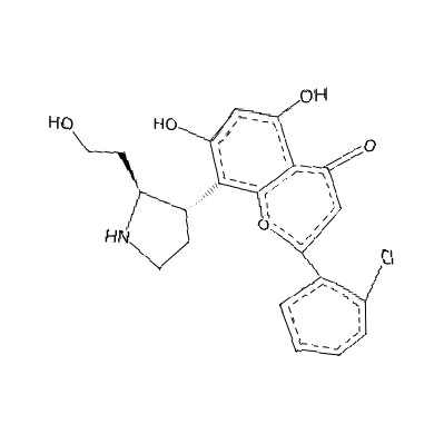 O=c1cc(-c2ccccc2Cl)oc2c([C@@H]3CCN[C@H]3CCO)c(O)cc(O)c12